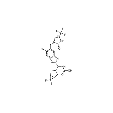 O=C(O)NC(c1cn2nc(Cl)c(CN3C[C@@H](C(F)(F)F)NC3=O)cc2n1)C1CC2C(C1)C2(F)F